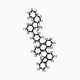 CC1(C)c2ccc3ccccc3c2-c2cccc(-c3ccc(-c4c5ccccc5c(-c5cccc6c5oc5ccccc56)c5ccccc45)cc3)c21